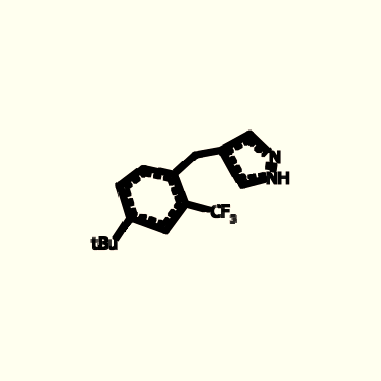 CC(C)(C)c1ccc(Cc2cn[nH]c2)c(C(F)(F)F)c1